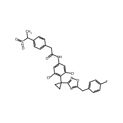 CC(c1ccc(CC(=O)Nc2cc(Cl)c(C3(c4noc(Cc5ccc(F)cc5)n4)CC3)c(Cl)c2)cc1)[SH](=O)=O